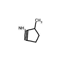 CC1C#CCC1.N